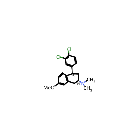 COc1ccc2c(c1)C[C@H](N(C)C)C[C@@H]2c1ccc(Cl)c(Cl)c1